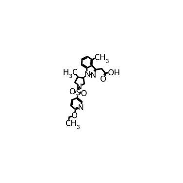 CCOc1ccc(S(=O)(=O)N2C[C@@H](C)[C@@H](n3nc(CC(=O)O)c4c(C)cccc43)C2)cn1